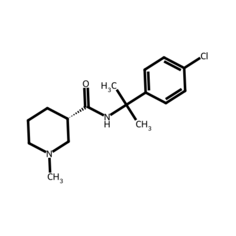 CN1CCC[C@H](C(=O)NC(C)(C)c2ccc(Cl)cc2)C1